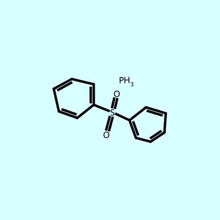 O=S(=O)(c1ccccc1)c1ccccc1.P